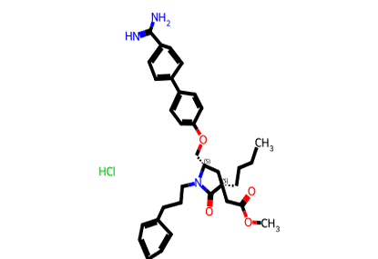 CCCC[C@@]1(CC(=O)OC)C[C@@H](COc2ccc(-c3ccc(C(=N)N)cc3)cc2)N(CCCc2ccccc2)C1=O.Cl